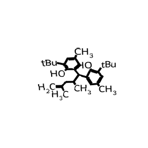 C=C(C)CC(C)C(c1cc(C)cc(C(C)(C)C)c1O)c1cc(C)cc(C(C)(C)C)c1O